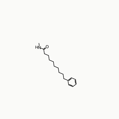 CNC(=O)CCCCCCCCCc1ccccc1